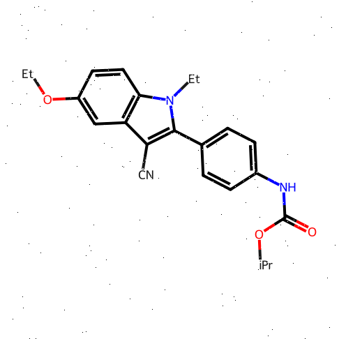 CCOc1ccc2c(c1)c(C#N)c(-c1ccc(NC(=O)OC(C)C)cc1)n2CC